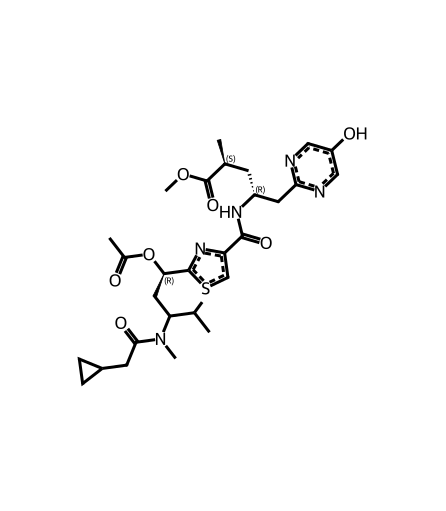 COC(=O)[C@@H](C)C[C@H](Cc1ncc(O)cn1)NC(=O)c1csc([C@@H](CC(C(C)C)N(C)C(=O)CC2CC2)OC(C)=O)n1